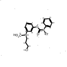 CCN(C(=O)Oc1cccc(N(CCCCl)C(=O)O)c1)c1ccccc1